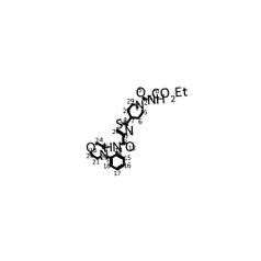 CCOC(=O)NC(=O)N1CCC(c2nc(C(=O)Nc3ccccc3N3CCOCC3)cs2)CC1